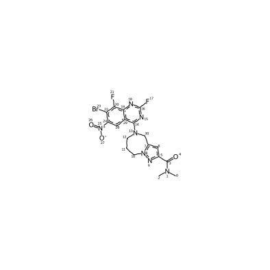 CN(C)C(=O)c1cc2n(n1)CCCN(c1nc(F)nc3c(F)c(Br)c([N+](=O)[O-])cc13)C2